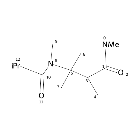 CNC(=O)C(C)C(C)(C)N(C)C(=O)C(C)C